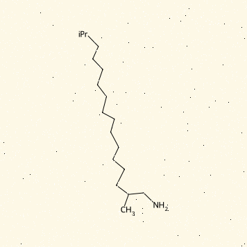 CC(C)CCCCCCCCCCCCC(C)CN